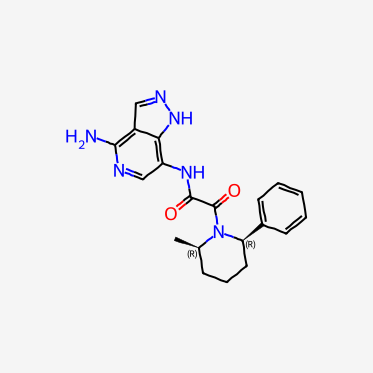 C[C@@H]1CCC[C@H](c2ccccc2)N1C(=O)C(=O)Nc1cnc(N)c2cn[nH]c12